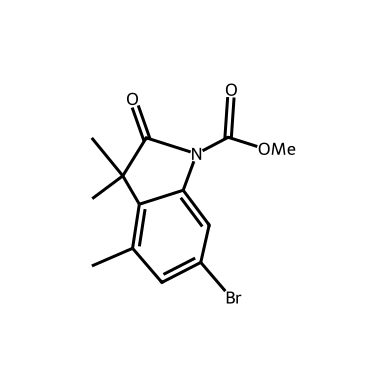 COC(=O)N1C(=O)C(C)(C)c2c(C)cc(Br)cc21